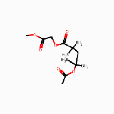 BC(B)(CC(B)(B)C(=O)OCC(=O)OC)OC(C)=O